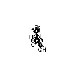 O=C1C(N2CC[C@H](O)C2)=C(Cl)C(=O)c2[nH]c(-c3ccc(Br)c(F)c3)nc21